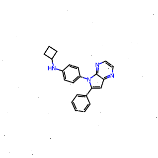 c1ccc(-c2cc3nccnc3n2-c2ccc(NC3CCC3)cc2)cc1